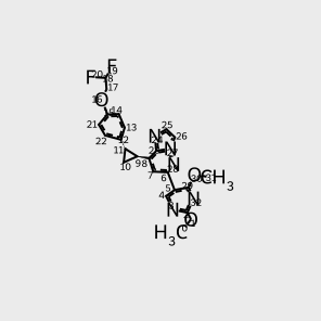 COc1ncc(-c2cc([C@H]3C[C@@H]3c3ccc(OCC(F)F)cc3)c3nccn3n2)c(OC)n1